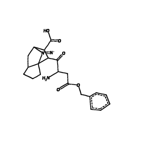 [N-]=[N+]1C2CC3CCCC31C(C(=O)C(N)CC(=O)OCc1ccccc1)C2C(=O)O